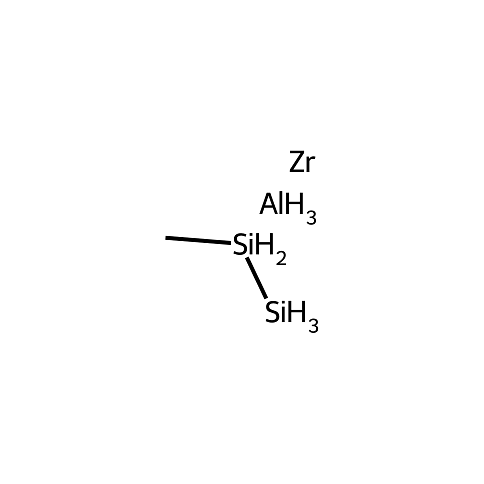 C[SiH2][SiH3].[AlH3].[Zr]